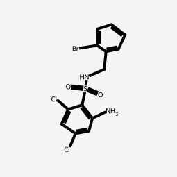 Nc1cc(Cl)cc(Cl)c1S(=O)(=O)NCc1ccccc1Br